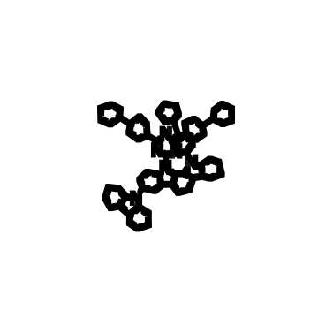 c1ccc(-c2ccc(-c3nc(-c4ccc(-c5ccccc5)cc4)nc(-n4c5ccc(-n6c7ccccc7c7ccccc76)cc5c5ccc6c7ccccc7n(-c7ccc(-c8ccccc8)cc7)c6c54)n3)cc2)cc1